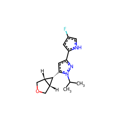 CC(C)n1nc(-c2cc(F)c[nH]2)cc1[C@@H]1[C@@H]2COC[C@@H]21